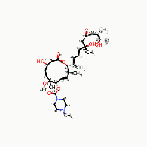 CCO[C@]1(C)CC[C@@H](O)CC(=O)O[C@H](/C(C)=C/C=C/C(C)(O)C[C@H]2O[C@@H]2[C@H](C)[C@@H](O)CC)[C@@H](C)/C=C/[C@@H]1OC(=O)N1CCN(C)CC1